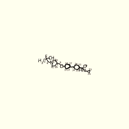 CC(C)(F)CN1CCC(COc2ccc(-c3ccc(C(=O)NC4CC4)cc3)cc2)CC1